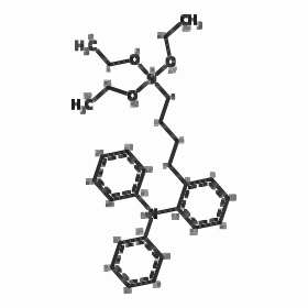 CCO[Si](CCCCc1ccccc1N(c1ccccc1)c1ccccc1)(OCC)OCC